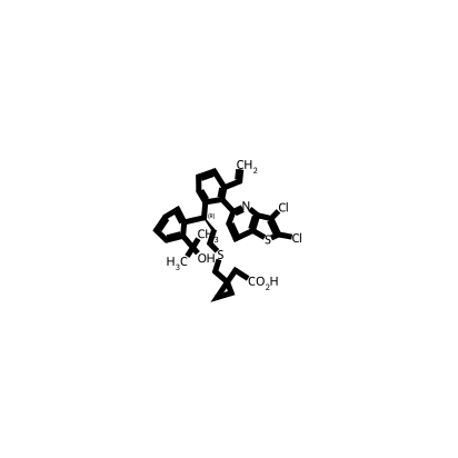 C=Cc1cccc([C@@H](CCSCC2(CC(=O)O)CC2)c2ccccc2C(C)(C)O)c1-c1ccc2sc(Cl)c(Cl)c2n1